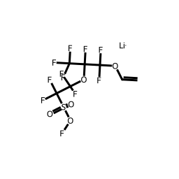 C=COC(F)(F)C(F)(OC(F)(F)C(F)(F)S(=O)(=O)OF)C(F)(F)F.[Li]